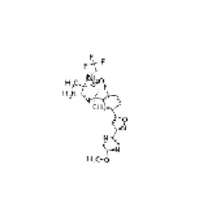 COc1cnc(-c2cc(-c3ccc(F)c([C@]4(C)C[S@@](=O)(=NCC(F)(F)F)C(C)(C)C(N)=N4)c3)on2)cn1